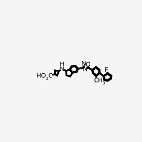 Cc1cc(-c2nc(-c3ccc4c(c3)CCC4NC3CC(C(=O)O)C3)no2)ccc1-c1ccccc1F